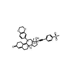 C[C@]12C[C@H](c3ccc4c(c3)OCCO4)C3=C4CCC(=O)C=C4CC[C@H]3[C@@H]1CC[C@@]2(O)C#Cc1ccc(S(C)(=O)=O)cc1